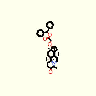 CC1C(=O)CC[C@]2(C)[C@@H]3CC[C@]4(C)C(OCC(=O)OC(c5ccccc5)c5ccccc5)CC[C@H]4[C@@H]3CCN12